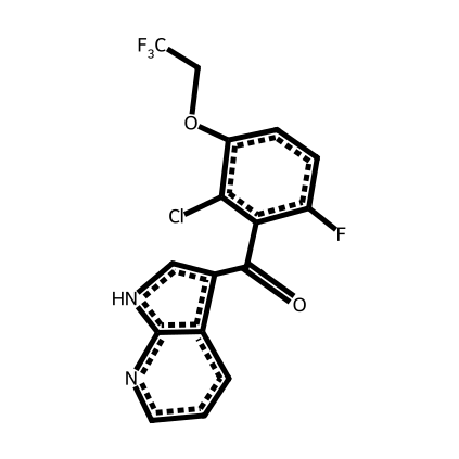 O=C(c1c(F)ccc(OCC(F)(F)F)c1Cl)c1c[nH]c2ncccc12